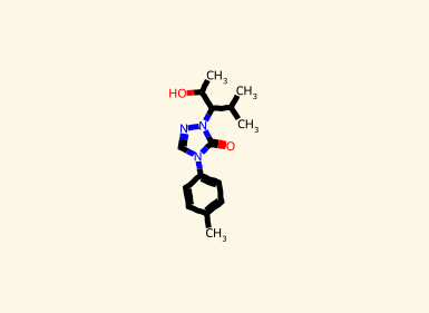 Cc1ccc(-n2cnn(C(C(C)C)C(C)O)c2=O)cc1